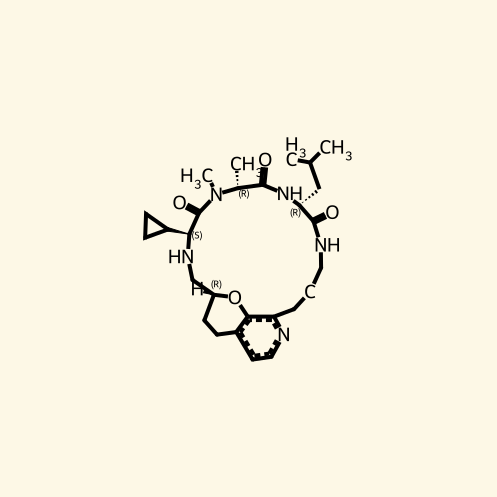 CC(C)C[C@H]1NC(=O)[C@@H](C)N(C)C(=O)[C@H](C2CC2)NC[C@H]2CCc3ccnc(c3O2)CCCNC1=O